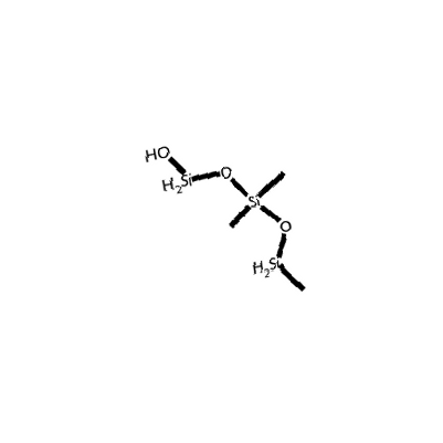 C[SiH2]O[Si](C)(C)O[SiH2]O